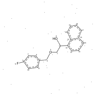 OC(COCc1ccc(F)cc1)c1cccc2ccccc12